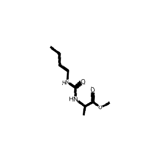 CCCCNC(=O)NC(C)C(=O)OC